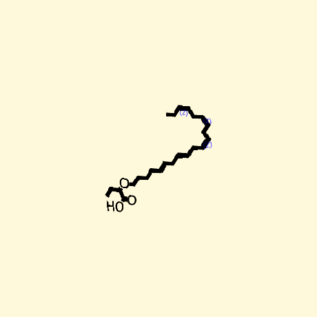 CC/C=C\C/C=C\C/C=C\CC=CCC=CCCCCOC(CC)C(=O)O